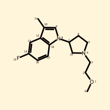 COCCN1CCC(n2cc(C)c3cc(F)ccc32)C1